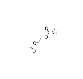 CNC(=O)OCCOC(C)=O